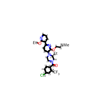 CCOc1ncccc1-c1ccc(N2CCN(C(=O)c3ccc(Cl)cc3C(F)(F)F)C[C@H]2CC)c(OCCNC)n1